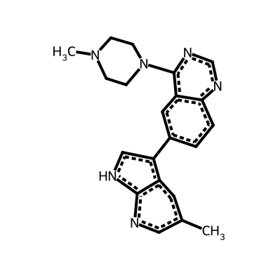 Cc1cnc2[nH]cc(-c3ccc4ncnc(N5CCN(C)CC5)c4c3)c2c1